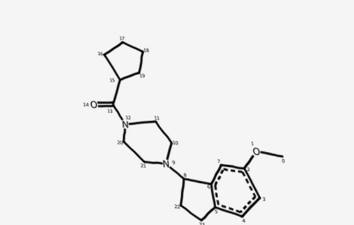 COc1ccc2c(c1)C(N1CCN(C(=O)C3CCCC3)CC1)CC2